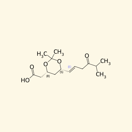 CC(C)C(=O)C/C=C/[C@@H]1C[C@H](CC(=O)O)OC(C)(C)O1